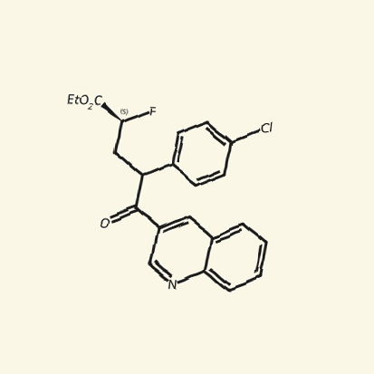 CCOC(=O)[C@@H](F)CC(C(=O)c1cnc2ccccc2c1)c1ccc(Cl)cc1